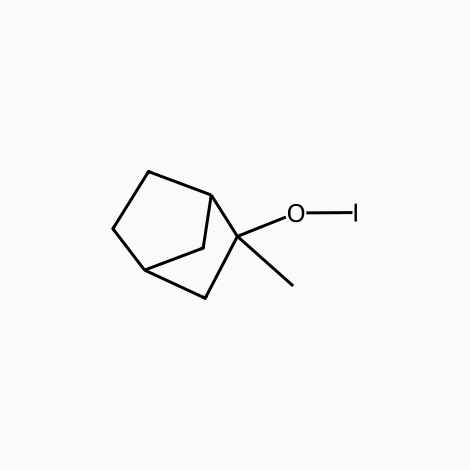 CC1(OI)CC2CCC1C2